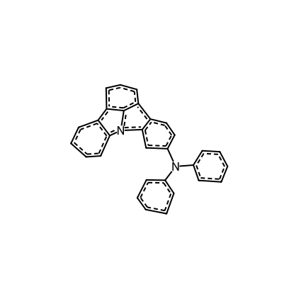 c1ccc(N(c2ccccc2)c2ccc3c4cccc5c6ccccc6n(c3c2)c54)cc1